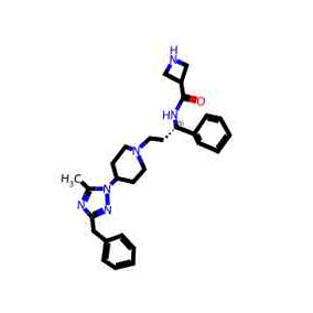 Cc1nc(Cc2ccccc2)nn1C1CCN(CC[C@H](NC(=O)C2CNC2)c2ccccc2)CC1